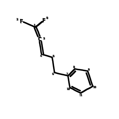 FC(F)=C=CCCc1ccccc1